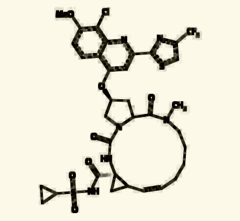 COc1ccc2c(O[C@H]3CC4C(=O)N(C)CCCC/C=C\C5C[C@@]5(C(=O)NS(=O)(=O)C5CC5)NC(=O)N4C3)cc(-c3nc(C(F)(F)F)cs3)nc2c1Cl